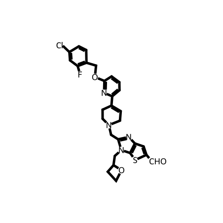 O=Cc1cc2nc(CN3CC=C(c4cccc(OCc5ccc(Cl)cc5F)n4)CC3)n(CC3CCO3)c2s1